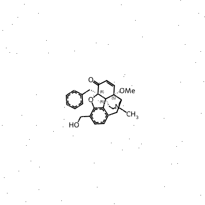 CO[C@@]12C=CC(=O)[C@]3(Cc4ccccc4)Oc4c(CO)ccc5c4[C@@]31CCN(C)C2C5